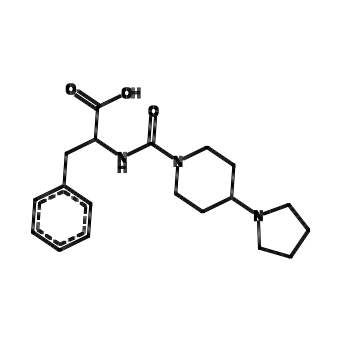 O=C(O)C(Cc1ccccc1)NC(=O)N1CCC(N2CCCC2)CC1